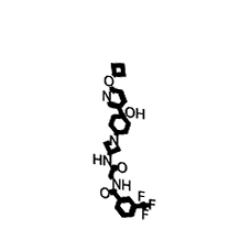 O=C(CNC(=O)c1cccc(C(F)(F)F)c1)NC1CN(C2CCC(O)(c3ccc(OC4CCC4)nc3)CC2)C1